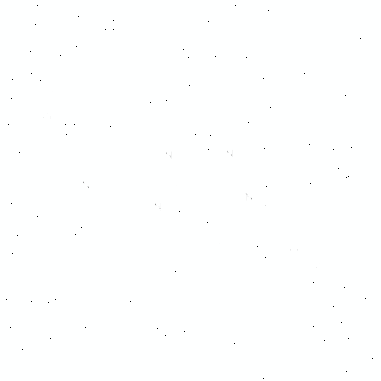 COCCN1CCC(n2cc(-c3cccc(OC)c3)c3c(N)ncnc32)C1